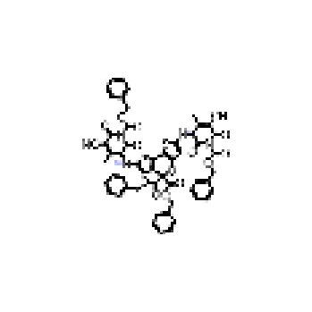 CC1=C(C#N)C(=O)N(C(=O)OCc2ccccc2)C(=O)/C1=N\c1cc2c(s1)-c1sc(/N=C3\C(=O)N(C(=O)OCc4ccccc4)C(=O)C(C#N)=C3C)cc1C(C(=O)OCc1ccccc1)(C(=O)OCc1ccccc1)O2